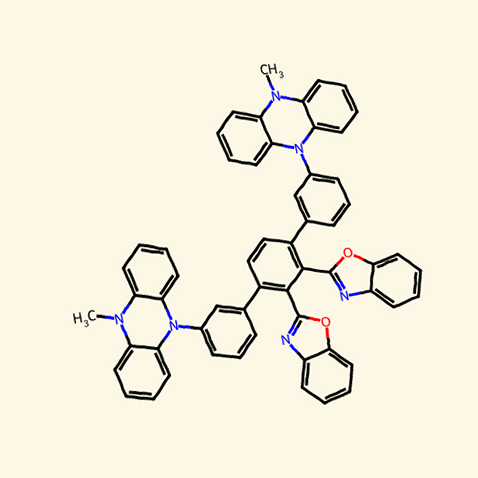 CN1c2ccccc2N(c2cccc(-c3ccc(-c4cccc(N5c6ccccc6N(C)c6ccccc65)c4)c(-c4nc5ccccc5o4)c3-c3nc4ccccc4o3)c2)c2ccccc21